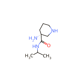 CC(C)NC(=O)[C@@]1(N)CCCNC1